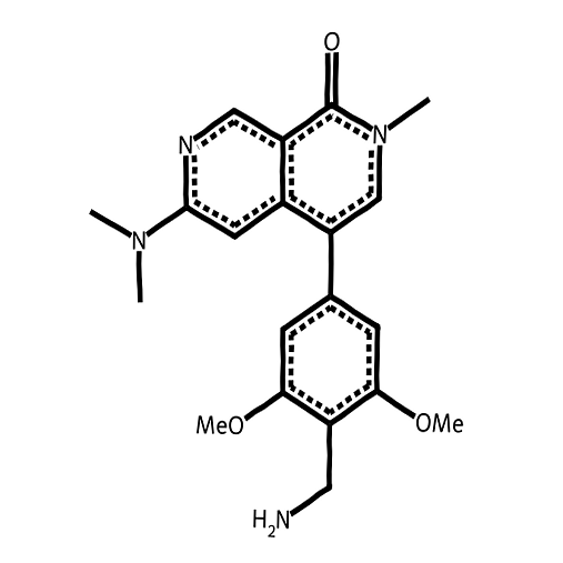 COc1cc(-c2cn(C)c(=O)c3cnc(N(C)C)cc23)cc(OC)c1CN